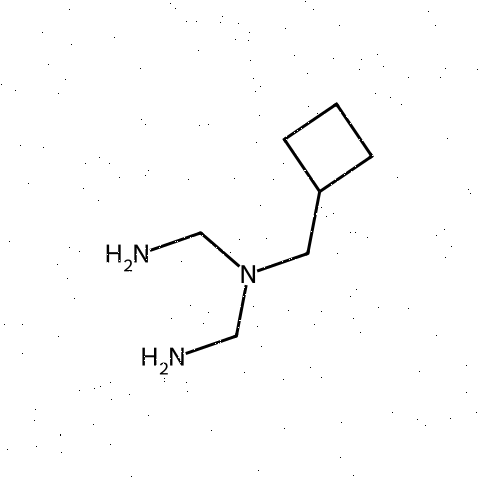 NCN(CN)CC1CCC1